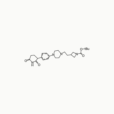 CC(C)(C)OC(=O)N1CC(CCN2CCN(c3ccc(C4CCC(=O)NC4=O)cc3)CC2)C1